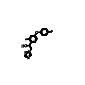 Cc1cc(Oc2ccc(F)cc2)ccc1C(O)Cn1cncn1